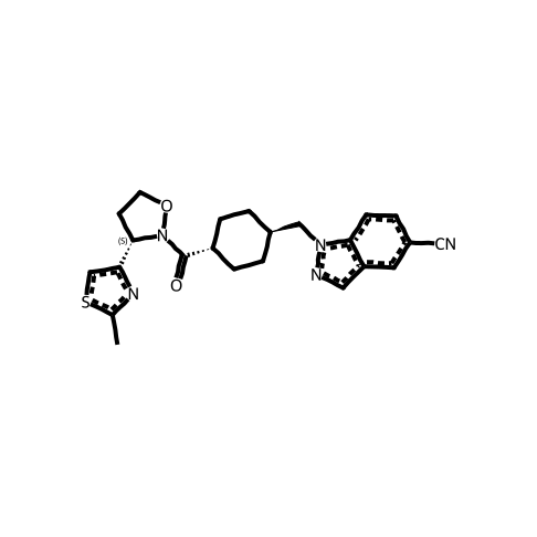 Cc1nc([C@@H]2CCON2C(=O)[C@H]2CC[C@H](Cn3ncc4cc(C#N)ccc43)CC2)cs1